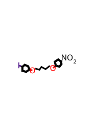 O=[N+]([O-])c1ccc(OCCCCCOc2ccc(I)cc2)cc1